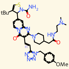 COc1ccc(Cn2nnnc2/C=C/c2c(N3CCC(CC(=O)NCCN(C)C)CC3)nc3cc(C4C(C(C)(C)C)=CSN4C(N)=O)ccn3c2=O)cc1